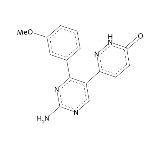 COc1cccc(-c2nc(N)ncc2-c2ccc(=O)[nH]n2)c1